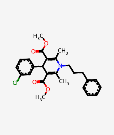 COC(=O)C1=C(C)N(CCCc2ccccc2)C(C)=C(C(=O)OC)C1c1cccc(Cl)c1